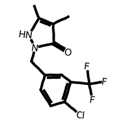 Cc1[nH]n(Cc2ccc(Cl)c(C(F)(F)F)c2)c(=O)c1C